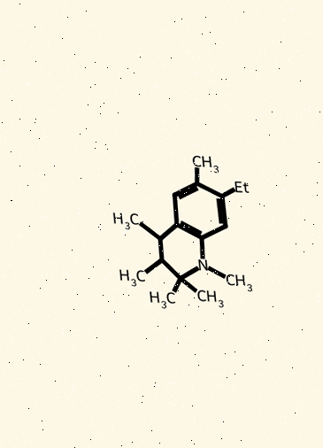 CCc1cc2c(cc1C)C(C)C(C)C(C)(C)N2C